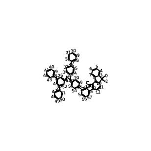 CC1(C)c2ccccc2-c2c1ccc1c2sc2c(-c3ccc(N(c4ccc(-c5ccccc5)cc4)c4cc(-c5ccccc5)cc(-c5ccccc5)c4)cc3)cccc21